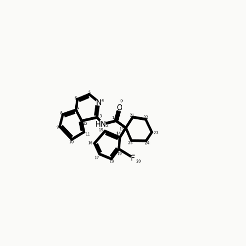 O=C(Nc1nccc2ccccc12)C1(c2ccccc2F)CCCCC1